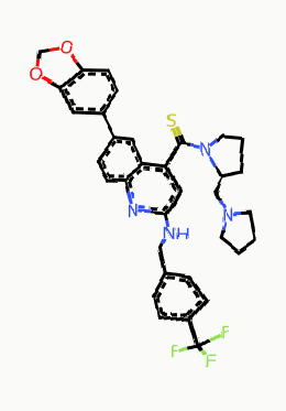 FC(F)(F)c1ccc(CNc2cc(C(=S)N3CCC[C@H]3CN3CCCC3)c3cc(-c4ccc5c(c4)OCO5)ccc3n2)cc1